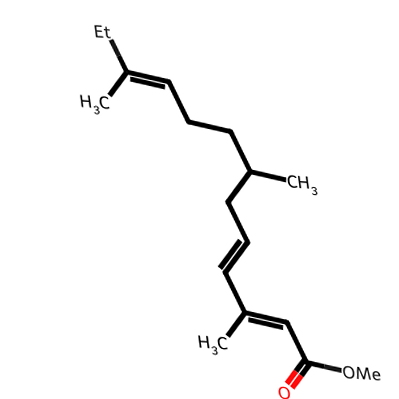 CCC(C)=CCCC(C)CC=CC(C)=CC(=O)OC